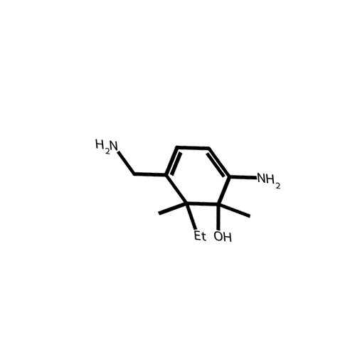 CCC1(C)C(CN)=CC=C(N)C1(C)O